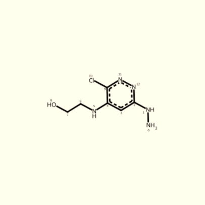 NNc1cc(NCCO)c(Cl)nn1